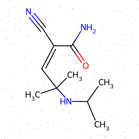 CC(C)NC(C)(C)C=C(C#N)C(N)=O